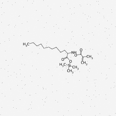 C=C(C)C(=O)ONC(CCCCCCCCCC)C(=O)O[Si](C)(C)C